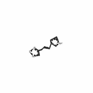 C(=C\c1cnsn1)/c1cc[nH]c1